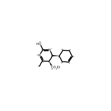 CCOC(=O)[C@H]1C(C)=NC(O)=NC1[C@@H]1CC=CCC1